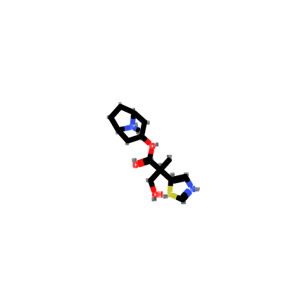 CN1C2CCC1CC(OC(=O)C(C)(CO)c1cncs1)C2